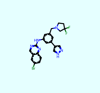 FC1(F)CCN(Cc2cc(Nc3ncc4cc(Br)ccc4n3)cc(-c3cn[nH]c3)c2)C1